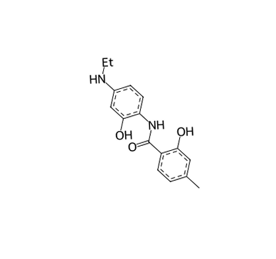 CCNc1ccc(NC(=O)c2ccc(C)cc2O)c(O)c1